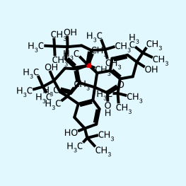 CC(C)(C)C1=C(C(C2=C(C(C)(C)C)CC(O)(C(C)(C)C)C=C2)C(C(=O)O)(C2=C(C(C)(C)C)CC(O)(C(C)(C)C)C=C2)C2=C(C(C)(C)C)CC(O)(C(C)(C)C)C=C2)C=CC(O)(C(C)(C)C)C1